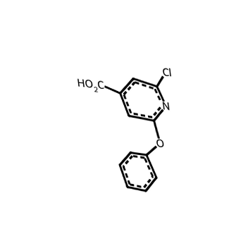 O=C(O)c1cc(Cl)nc(Oc2ccccc2)c1